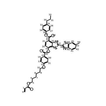 C=CC(=O)OCCCCCCOc1ccc(C(=O)Oc2ccc(C(=O)Oc3ccc(CCC)cc3)c3nc(-c4nc5ccc(C)cc5s4)sc23)cc1